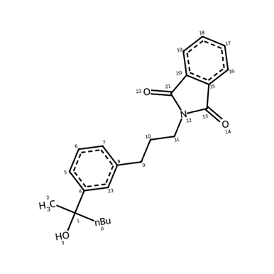 CCCCC(C)(O)c1cccc(CCCN2C(=O)c3ccccc3C2=O)c1